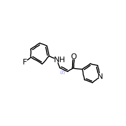 O=C(/C=C\Nc1cccc(F)c1)c1ccncc1